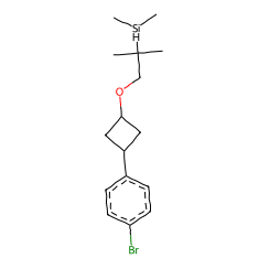 C[SiH](C)C(C)(C)COC1CC(c2ccc(Br)cc2)C1